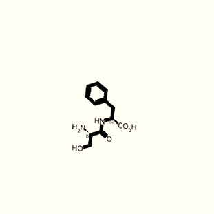 N[C@@H](CO)C(=O)N[C@@H](Cc1ccccc1)C(=O)O